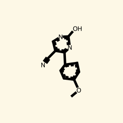 COc1ccc(-c2nc(O)ncc2C#N)cc1